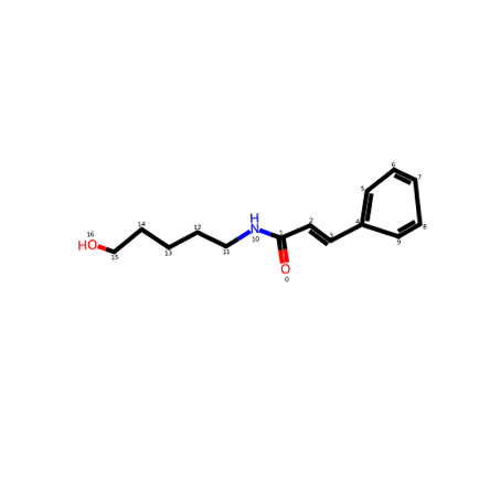 O=C(/C=C/c1ccccc1)NCCCCCO